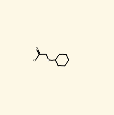 O=C(Cl)COC1CCCCC1